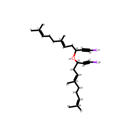 CC(C)=CCC/C(C)=C/CC(C#CI)OC(C#CI)C/C=C(\C)CCC=C(C)C